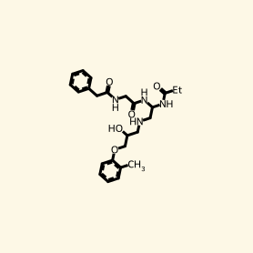 CCC(=O)NC(CNCC(O)COc1ccccc1C)NC(=O)CNC(=O)Cc1ccccc1